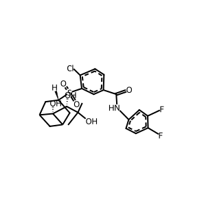 CC(C)(O)[C@@H](O)[C@]1(O)C2CC1C[C@@H](S(=O)(=O)c1cc(C(=O)Nc3ccc(F)c(F)c3)ccc1Cl)C2